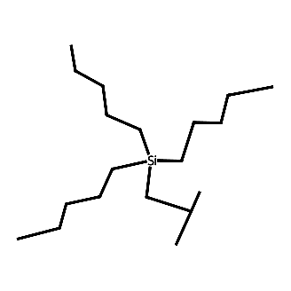 CCCCC[Si](CCCCC)(CCCCC)CC(C)C